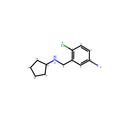 Clc1ccc(I)cc1CNC1CCCC1